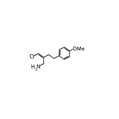 COc1ccc(CCC(=CCl)CN)cc1